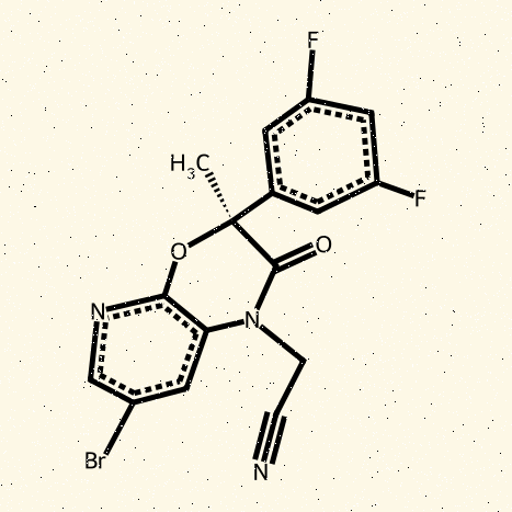 C[C@@]1(c2cc(F)cc(F)c2)Oc2ncc(Br)cc2N(CC#N)C1=O